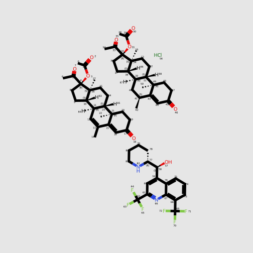 CC(=O)O[C@]1(C(C)=O)CC[C@H]2[C@@H]3C=C(C)C4=CC(=O)CC[C@]4(C)[C@H]3CC[C@@]21C.CC(=O)O[C@]1(C(C)=O)CC[C@H]2[C@@H]3C[C@H](C)C4=CC(=O)CC[C@]4(C)[C@H]3CC[C@@]21C.Cl.O[C@@H](c1cc(C(F)(F)F)nc2c(C(F)(F)F)cccc12)[C@H]1CCCCN1